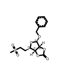 CS(=O)(=O)CC[C@H]1O[C@@H](OCc2ccccc2)[C@@H]2OC(=O)O[C@@H]21